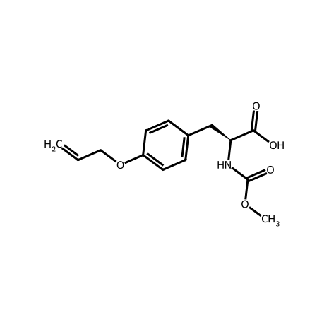 C=CCOc1ccc(C[C@H](NC(=O)OC)C(=O)O)cc1